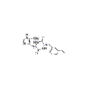 C=Cc1cccc(/C=c2\[nH]c(=O)/c(=C/c3nc[nH]c3C(C)(C)C)[nH]c2=O)c1